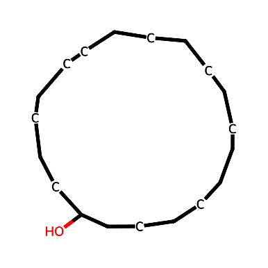 OC1CCCCCCCCCCCCCCCCCC1